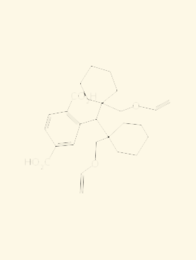 C=COCC1(C(c2cc(C(=O)O)ccc2C(=O)O)C2(COC=C)CCCCC2)CCCCC1